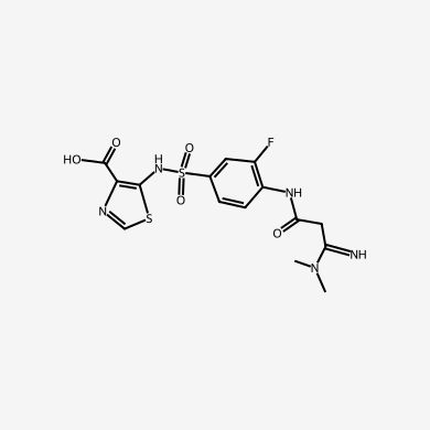 CN(C)C(=N)CC(=O)Nc1ccc(S(=O)(=O)Nc2scnc2C(=O)O)cc1F